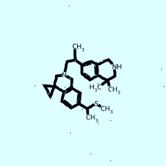 CSC(C)c1ccc2c(c1)CN(CC(C)c1ccc3c(c1)CNCC3(C)C)CC21CC1